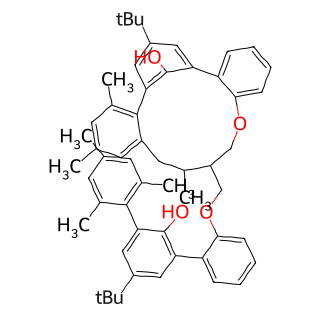 Cc1cc(C)c(-c2cc(C(C)(C)C)cc(-c3ccccc3OCC3COc4ccccc4-c4cc(C(C)(C)C)cc(c4O)-c4c(C)cc(C)cc4CC3C)c2O)c(C)c1